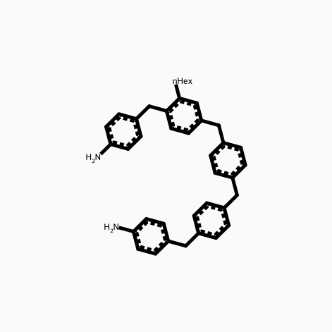 CCCCCCc1cc(Cc2ccc(Cc3ccc(Cc4ccc(N)cc4)cc3)cc2)ccc1Cc1ccc(N)cc1